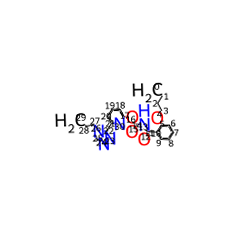 C=CCCOc1ccccc1C(=O)NC(=O)Oc1cccc(-c2nncn2CC=C)n1